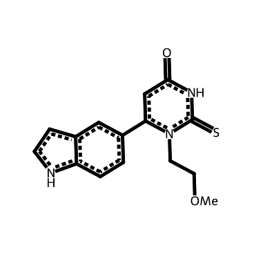 COCCn1c(-c2ccc3[nH]ccc3c2)cc(=O)[nH]c1=S